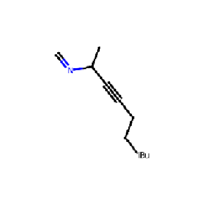 C=NC(C)C#CCCC(C)CC